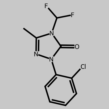 Cc1nn(-c2ccccc2Cl)c(=O)n1C(F)F